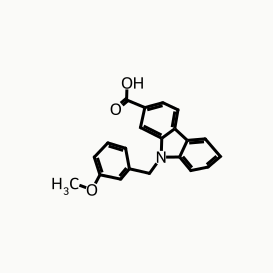 COc1cccc(Cn2c3ccccc3c3ccc(C(=O)O)cc32)c1